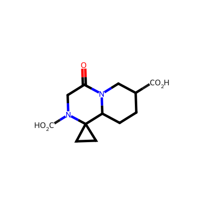 O=C(O)C1CCC2N(C1)C(=O)CN(C(=O)O)C21CC1